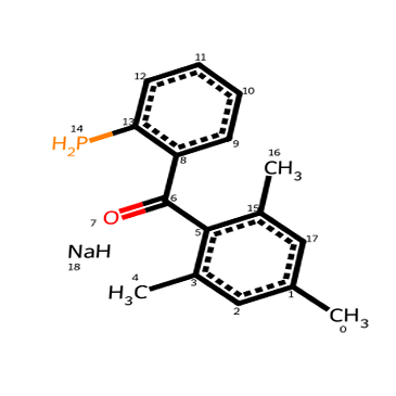 Cc1cc(C)c(C(=O)c2ccccc2P)c(C)c1.[NaH]